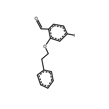 O=Cc1ccc(I)cc1OCCc1ccccc1